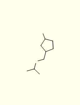 CC(C)NCC1CCC(O)C1